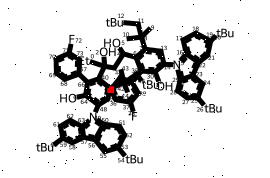 CCC(O)(CC(O)c1c(C(C)(C)CC(C)(C)C)cc(-n2c3ccc(C(C)(C)C)cc3c3cc(C(C)(C)C)ccc32)c(O)c1-c1cccc(F)c1)c1c(C(C)(C)CC(C)(C)C)cc(-n2c3ccc(C(C)(C)C)cc3c3cc(C(C)(C)C)ccc32)c(O)c1-c1cccc(F)c1